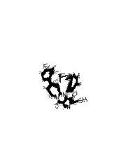 O=C(c1cnc(S)c(Cl)c1Nc1cc(F)c(F)cc1F)N1CCC(c2ccc(F)cc2)CC1